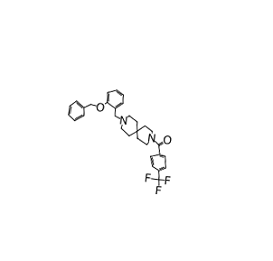 O=C(c1ccc(C(F)(F)F)cc1)N1CCC2(CCN(Cc3ccccc3OCc3ccccc3)CC2)CC1